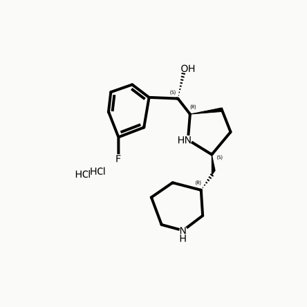 Cl.Cl.O[C@@H](c1cccc(F)c1)[C@H]1CC[C@@H](C[C@H]2CCCNC2)N1